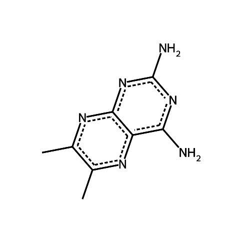 Cc1nc2nc(N)nc(N)c2nc1C